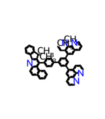 C=Nc1c(/C=C\C)c(-c2cc(-c3ccc(-c4c5c(nc6ccc7ccccc7c46)-c4ccccc4C5(C)C)cc3)cc(-c3cc4cccnc4c4ncccc34)c2)cc2cccnc12